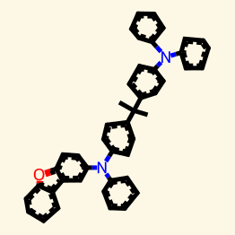 CC(C)(c1ccc(N(c2ccccc2)c2ccccc2)cc1)c1ccc(N(c2ccccc2)c2ccc3oc4ccccc4c3c2)cc1